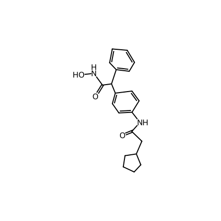 O=C(CC1CCCC1)Nc1ccc(C(C(=O)NO)c2ccccc2)cc1